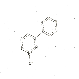 [O-][n+]1cccc(-c2ccncn2)n1